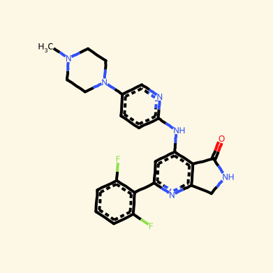 CN1CCN(c2ccc(Nc3cc(-c4c(F)cccc4F)nc4c3C(=O)NC4)nc2)CC1